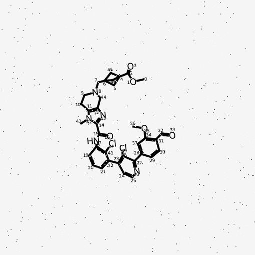 COC(=O)C12CC(CN3CCc4c(nc(C(=O)Nc5cccc(-c6ccnc(-c7ccc(C=O)c(OC)c7)c6Cl)c5Cl)n4C)C3)(C1)C2